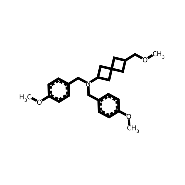 COCC1CC2(C1)CC(N(Cc1ccc(OC)cc1)Cc1ccc(OC)cc1)C2